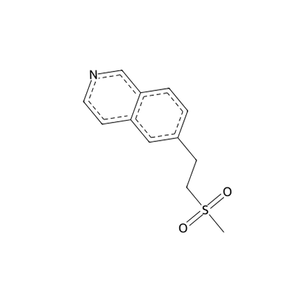 CS(=O)(=O)CCc1ccc2cnccc2c1